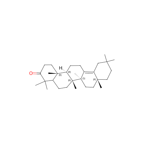 CC1(C)CC[C@]2(C)CC[C@]3(C)C(=C2C1)CC[C@@H]1[C@@]2(C)CCC(=O)C(C)(C)C2CC[C@]13C